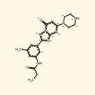 CCC(=O)Nc1cc(C)cc(-c2nn3c(=O)cc(N4CCNCC4)nc3s2)c1